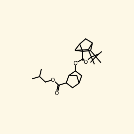 CC(C)COC(=O)C1CC2CC(OC(=O)C34C5CC(C(C(C)(C)C)C53)C4C(C)(C)C)C1C2